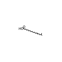 CC(C)CCC=CCCCCCCCCCCCC(=O)O